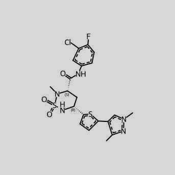 Cc1nn(C)cc1-c1ccc([C@H]2C[C@@H](C(=O)Nc3ccc(F)c(Cl)c3)N(C)S(=O)(=O)N2)s1